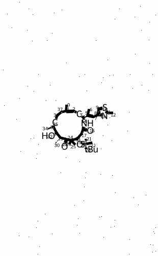 C/C1=C/C[C@@H](/C(C)=C/c2csc(C)n2)NC(=O)C[C@H](O[Si](C)(C)C(C)(C)C)C(C)(C)C(=O)[C@H](C)[C@@H](O)[C@@H](C)CCC1